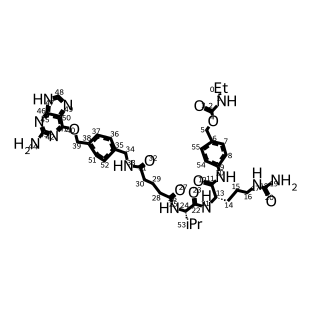 CCNC(=O)OCc1ccc(NC(=O)[C@H](CCCNC(N)=O)NC(=O)[C@@H](NC(=O)CCCC(=O)NCc2ccc(COc3nc(N)nc4[nH]cnc34)cc2)C(C)C)cc1